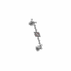 CC(NC(=O)CCOCCOCCOCCNC(=O)C(C(C(=O)NCCOCCOCCOCCC(=O)NC(C)C(=O)NC(C)C(=O)ON1C(=O)CCC1=O)N1C(=O)C=CC1=O)N1C(=O)C=CC1=O)C(=O)NC(C)C(=O)ON1C(=O)CCC1=O